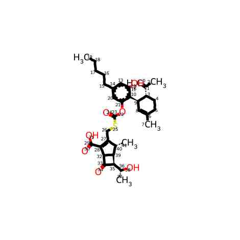 C=C(C)[C@@H]1CCC(C)=C[C@H]1c1c(O)cc(CCCCC)cc1OC(=O)SCC1=C(C(=O)O)C2C(=O)[C@H]([C@@H](C)O)C2[C@H]1C